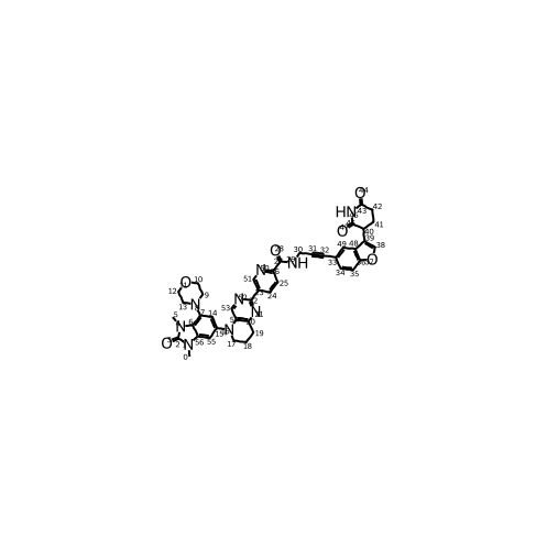 Cn1c(=O)n(C)c2c(N3CCOCC3)cc(N3CCCc4nc(-c5ccc(C(=O)NCC#Cc6ccc7occ(C8CCC(=O)NC8=O)c7c6)nc5)ncc43)cc21